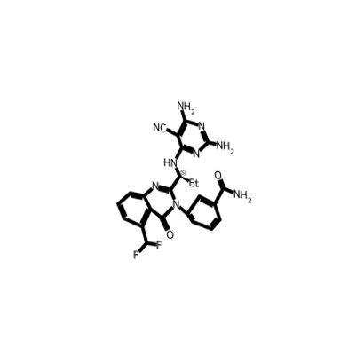 CC[C@H](Nc1nc(N)nc(N)c1C#N)c1nc2cccc(C(F)F)c2c(=O)n1-c1cccc(C(N)=O)c1